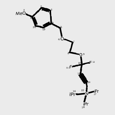 COc1ccc(COCCOC(F)(F)C#C[Si](C(C)C)(C(C)C)C(C)C)cc1